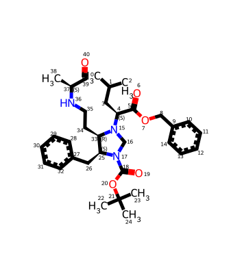 CC(C)C[C@@H](C(=O)OCc1ccccc1)N1CN(C(=O)OC(C)(C)C)[C@@H](Cc2ccccc2)[C@H]1CCN[C@@H](C)C=O